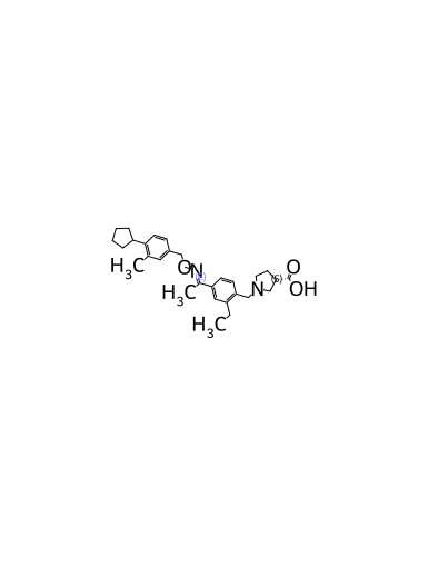 CCc1cc(/C(C)=N/OCc2ccc(C3CCCC3)c(C)c2)ccc1CN1CC[C@H](C(=O)O)C1